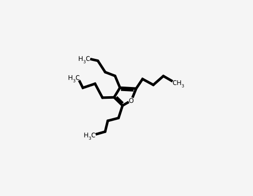 CCCCc1oc(CCCC)c(CCCC)c1CCCC